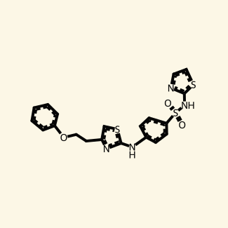 O=S(=O)(Nc1nccs1)c1ccc(Nc2nc(CCOc3ccccc3)cs2)cc1